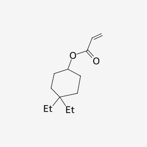 C=CC(=O)OC1CCC(CC)(CC)CC1